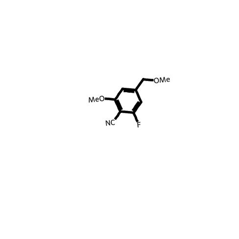 COCc1cc(F)c(C#N)c(OC)c1